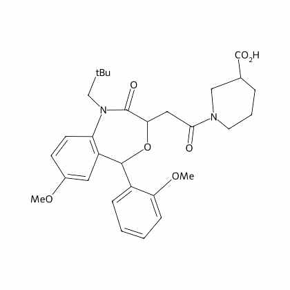 COc1ccc2c(c1)C(c1ccccc1OC)OC(CC(=O)N1CCCC(C(=O)O)C1)C(=O)N2CC(C)(C)C